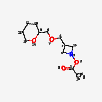 O=C(ON1CC(COCC2CCCCO2)C1)C(F)(F)F